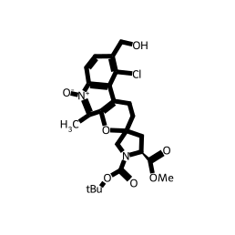 COC(=O)[C@@H]1CC2(CCc3c(c(C)[n+]([O-])c4ccc(CO)c(Cl)c34)O2)CN1C(=O)OC(C)(C)C